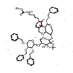 C[C@@H]1O[C@@H](O[C@@H]2[CH]O[C@H](COCc3ccccc3)[C@H](NC(=O)CCCCCNC(=O)OC(C)(C)C)[C@@H]2OCc2ccccc2)[C@@H]2OC(C)(C)O[C@@H]2[C@H]1O[C@@H]1OC[C@@H](OCc2ccccc2)[C@H](OCc2ccccc2)[C@H]1OCc1ccccc1